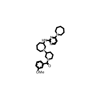 COc1cccc(C(=O)N2CCCC(N3CCCCC(Nc4nccc(N5CCCCCC5)n4)C3)C2)c1